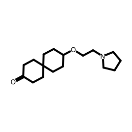 O=C1CCC2(CC1)CCC(OCCN1CCCC1)CC2